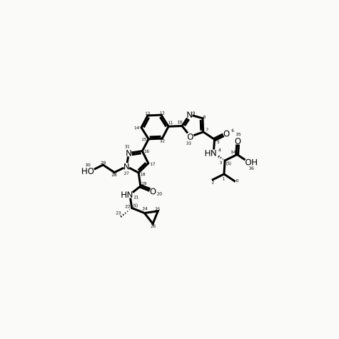 CC(C)[C@H](NC(=O)c1cnc(-c2cccc(-c3cc(C(=O)N[C@@H](C)C4CC4)n(CCO)n3)c2)o1)C(=O)O